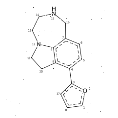 c1coc(-c2ccc3c4c2CCN4CCNC3)c1